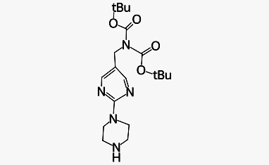 CC(C)(C)OC(=O)N(Cc1cnc(N2CCNCC2)nc1)C(=O)OC(C)(C)C